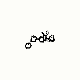 C=C(C(=O)Nc1cccnc1)c1cc(-c2cncc(N3CCCCC3)c2)ccc1NC